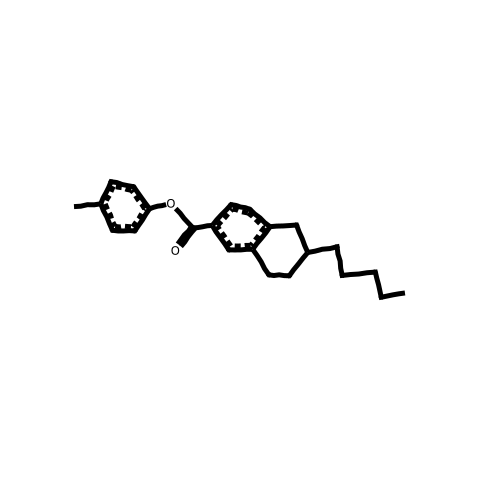 CCCCCC1CCc2cc(C(=O)Oc3ccc(C)cc3)ccc2C1